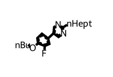 CCCCCCCc1ncc(-c2ccc(OCCCC)c(F)c2)cn1